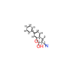 C/C(=C(\C#N)C(=O)O)c1ccc(-c2ccccc2)cc1